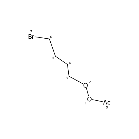 CC(=O)OOCCCCBr